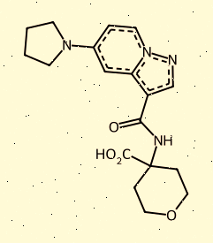 O=C(NC1(C(=O)O)CCOCC1)c1cnn2ccc(N3CCCC3)cc12